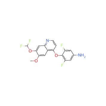 COc1cc2c(Oc3c(F)cc(N)cc3F)ccnc2cc1OC(F)F